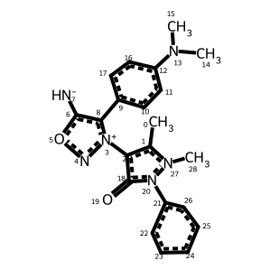 Cc1c(-[n+]2noc([NH-])c2-c2ccc(N(C)C)cc2)c(=O)n(-c2ccccc2)n1C